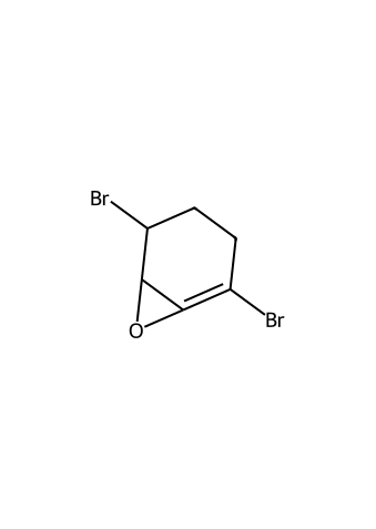 BrC1=C2OC2C(Br)CC1